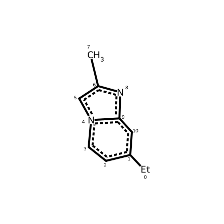 CCc1ccn2cc(C)nc2c1